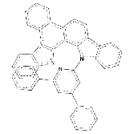 c1ccc(-c2cc(-c3ccccc3)nc(-n3c4ccccc4c4ccc5c6ccccc6n6c7ccccc7nc6c5c43)c2)cc1